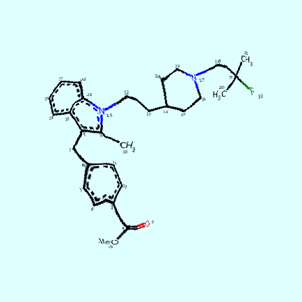 COC(=O)c1ccc(Cc2c(C)n(CCC3CCN(CC(C)(C)F)CC3)c3ccccc23)cc1